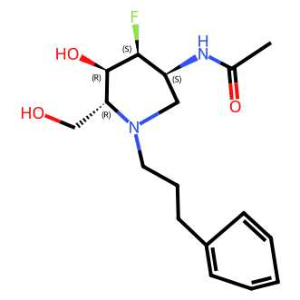 CC(=O)N[C@H]1CN(CCCc2ccccc2)[C@H](CO)[C@@H](O)[C@H]1F